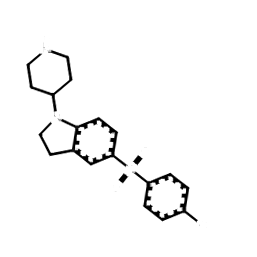 O=S(=O)(c1ccc(Cl)cc1)c1ccc2c(c1)CCN2C1CCNCC1